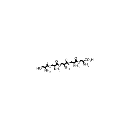 N[C@@H](COC(=O)[C@@H](N)COC(=O)[C@@H](N)COC(=O)[C@@H](N)COC(=O)[C@@H](N)CO)C(=O)O